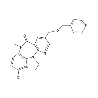 CCN1c2ncc(COCc3ccncc3)cc2C(=O)N(C)c2ccc(Cl)nc21